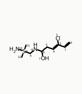 C=C/C(Cl)=C/CC(O)NCS(C)(C)N